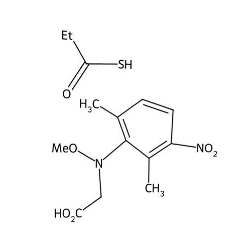 CCC(=O)S.CON(CC(=O)O)c1c(C)ccc([N+](=O)[O-])c1C